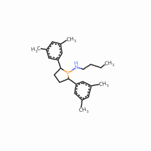 CCCCNP1C(c2cc(C)cc(C)c2)CCC1c1cc(C)cc(C)c1